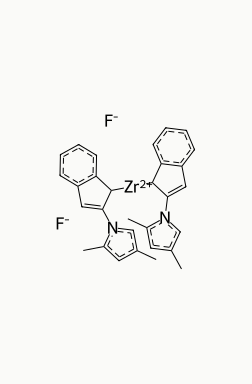 Cc1cc(C)n(C2=Cc3ccccc3[CH]2[Zr+2][CH]2C(n3cc(C)cc3C)=Cc3ccccc32)c1.[F-].[F-]